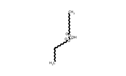 CCCCCCCC/C=C\CCCCCCCC(=O)O[C@@H](CO)COC(=O)CCCCCCCCCCCCC